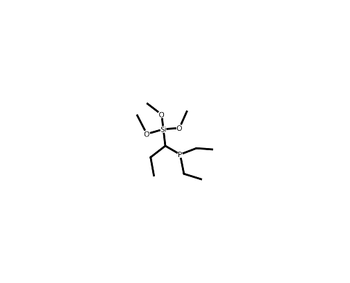 CCC(P(CC)CC)[Si](OC)(OC)OC